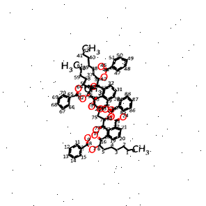 CCCCCCC(OC(=O)c1ccccc1)C(=O)c1cccc(C(=O)OOC(=O)c2cccc(C(=O)C(CCCCCC)OC(=O)c3ccccc3)c2C(=O)C(CCCCCC)OC(=O)c2ccccc2)c1C(=O)C(CCCCCC)OC(=O)c1ccccc1